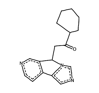 O=C(CC1c2cnccc2-c2cncn21)C1CCCCC1